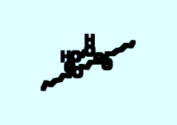 CCCCCCCC(=O)OCCCCOC(=O)CCCCCCC.OCCO